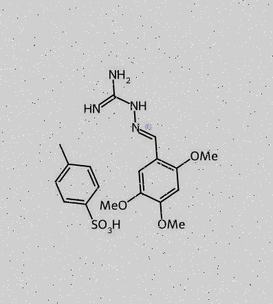 COc1cc(OC)c(OC)cc1/C=N/NC(=N)N.Cc1ccc(S(=O)(=O)O)cc1